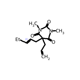 C=CCC1(C/C=C/CC)C(=O)N(C)C(=O)N(C)C1=O